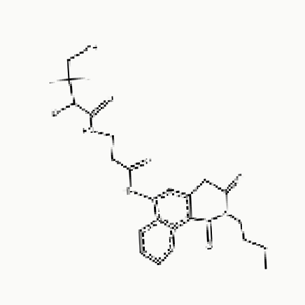 CCCCN1C(=O)Cc2cc(NC(=O)CCNC(=O)C(O)C(C)(C)CO)c3ccccc3c2C1=O